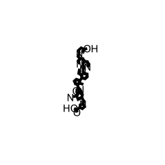 Cc1c(-c2nc3cc(CN4CCC(C(=O)O)C4)cc(C#N)c3o2)cccc1-c1cccc2c1ccn2-c1nccc2cc(CN3CCC(O)C3)cnc12